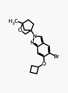 CC12CCC(n3cc4cc(Br)c(OC5CCC5)cc4n3)(CO1)C2